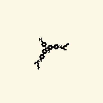 CCCCC(CC)COc1ccc(-c2ccc3c(c2)Sc2cc(-c4ccc(OCC(CC)CCCC)cc4)ccc2N3c2ccc(C#N)cc2)cc1